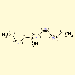 CC\C=C/C=C\C=C\C(O)C/C=C\CC